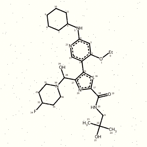 CCOc1cc(NC2CCCCC2)ncc1-c1sc(C(=O)NCC(C)(C)O)nc1C(O)N1CCC(F)CC1